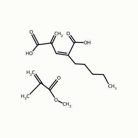 C=C(C)C(=O)OC.C=C(C=C(CCCCC)C(=O)O)C(=O)O